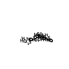 COc1cc(N=Nc2ccccc2S(=O)(=O)O)c(C)cc1N=Nc1c(S(=O)(=O)O)cc2ccc(Nc3ccc(N)c(S(=O)(=O)O)c3)cc2c1O